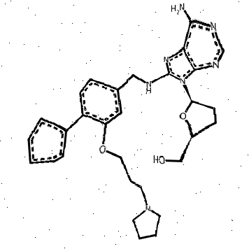 Nc1ncnc2c1nc(NCc1ccc(-c3ccccc3)c(OCCCN3CCCC3)c1)n2[C@H]1CC[C@@H](CO)O1